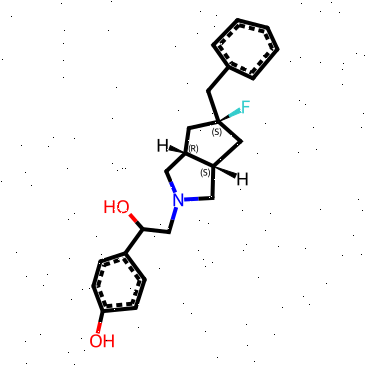 Oc1ccc(C(O)CN2C[C@@H]3C[C@](F)(Cc4ccccc4)C[C@@H]3C2)cc1